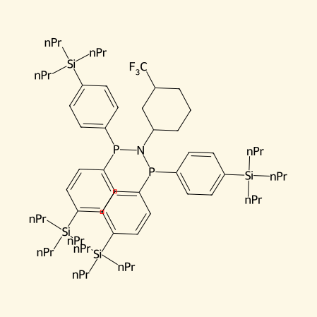 CCC[Si](CCC)(CCC)c1ccc(P(c2ccc([Si](CCC)(CCC)CCC)cc2)N(C2CCCC(C(F)(F)F)C2)P(c2ccc([Si](CCC)(CCC)CCC)cc2)c2ccc([Si](CCC)(CCC)CCC)cc2)cc1